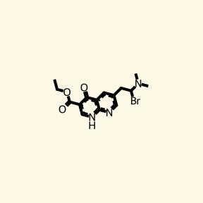 CCOC(=O)c1c[nH]c2ncc(CC(Br)N(C)C)cc2c1=O